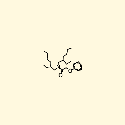 CCCCC(CC)CN(CC(CC)CCCC)C(=O)COc1ccccc1